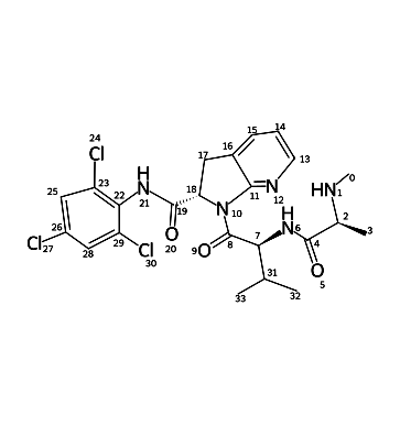 CN[C@@H](C)C(=O)N[C@H](C(=O)N1c2ncccc2C[C@H]1C(=O)Nc1c(Cl)cc(Cl)cc1Cl)C(C)C